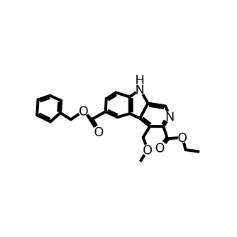 CCOC(=O)c1ncc2[nH]c3ccc(C(=O)OCc4ccccc4)cc3c2c1COC